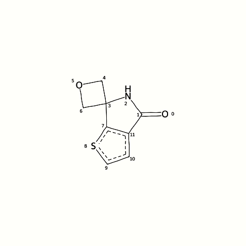 O=C1NC2(COC2)c2sccc21